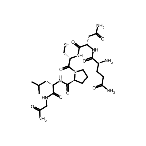 CC(C)C[C@H](NC(=O)[C@@H]1CCCN1C(=O)[C@H](CS)NC(=O)[C@H](CC(N)=O)NC(=O)[C@@H](N)CCC(N)=O)C(=O)NCC(N)=O